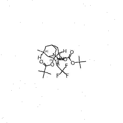 C[C@@H]1CC2C[C@H](NC(=O)OC(C)(C)C)[C@H](OC(=O)C(C)(C)C)C1N(C(=O)CC(F)(F)F)C2